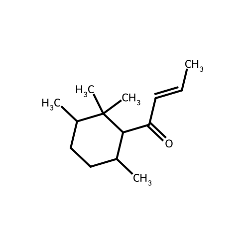 C/C=C/C(=O)C1C(C)CCC(C)C1(C)C